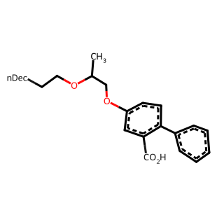 CCCCCCCCCCCCOC(C)COc1ccc(-c2ccccc2)c(C(=O)O)c1